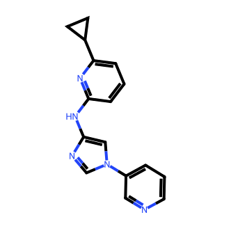 c1cncc(-n2cnc(Nc3cccc(C4CC4)n3)c2)c1